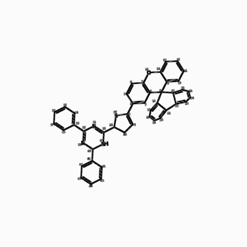 C1=C(c2ccc3c(c2)C2(c4ccccc4O3)c3ccccc3-c3ccccc32)SC(C2=NC(c3ccccc3)=NC(c3ccccc3)N2)C1